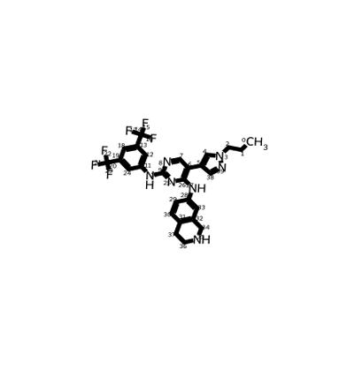 CCCn1cc(-c2cnc(Nc3cc(C(F)(F)F)cc(C(F)(F)F)c3)nc2Nc2ccc3c(c2)CNCC3)cn1